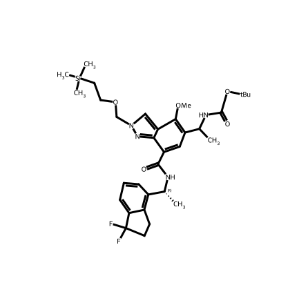 COc1c(C(C)NC(=O)OC(C)(C)C)cc(C(=O)N[C@H](C)c2cccc3c2CCC3(F)F)c2nn(COCC[Si](C)(C)C)cc12